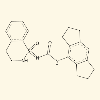 O=C(N=S1(=O)NCCc2ccccc21)Nc1c2c(cc3c1CCC3)CCC2